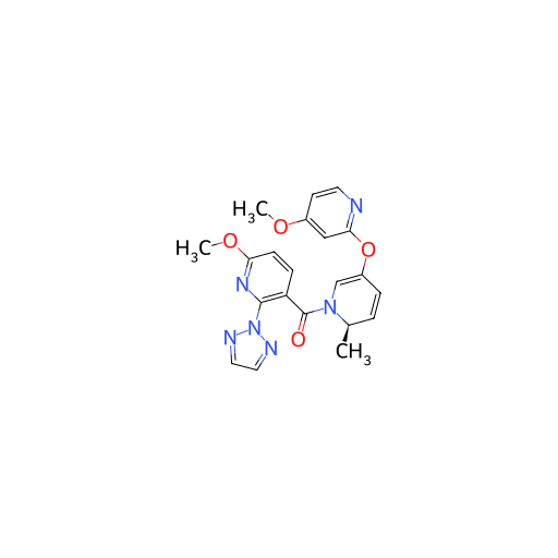 COc1ccnc(OC2=CN(C(=O)c3ccc(OC)nc3-n3nccn3)[C@H](C)C=C2)c1